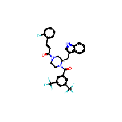 O=C(C=Cc1ccccc1F)N1CCN(C(=O)c2cc(C(F)(F)F)cc(C(F)(F)F)c2)[C@H](Cc2c[nH]c3ccccc23)C1